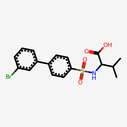 CC(C)C(NS(=O)(=O)c1ccc(-c2cccc(Br)c2)cc1)C(=O)O